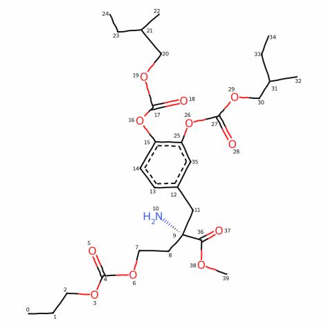 CCCOC(=O)OCC[C@@](N)(Cc1ccc(OC(=O)OCC(C)CC)c(OC(=O)OCC(C)CC)c1)C(=O)OC